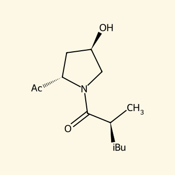 CCC(C)[C@H](C)C(=O)N1C[C@H](O)C[C@H]1C(C)=O